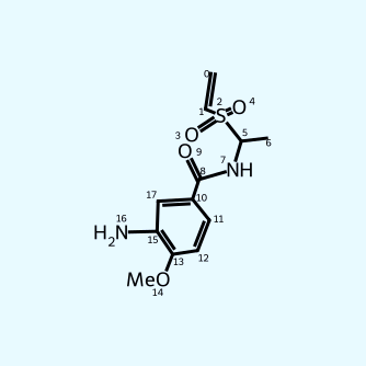 C=CS(=O)(=O)C(C)NC(=O)c1ccc(OC)c(N)c1